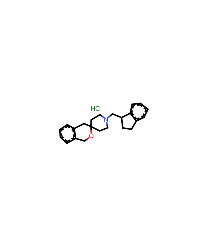 Cl.c1ccc2c(c1)COC1(CCN(CC3CCc4ccccc43)CC1)C2